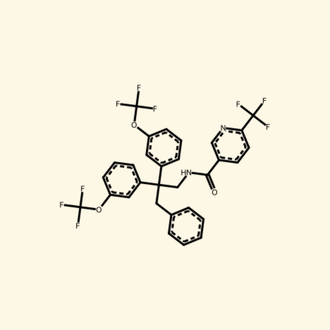 O=C(NCC(Cc1ccccc1)(c1cccc(OC(F)(F)F)c1)c1cccc(OC(F)(F)F)c1)c1ccc(C(F)(F)F)nc1